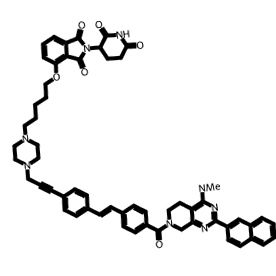 CNc1nc(-c2ccc3ccccc3c2)nc2c1CCN(C(=O)c1ccc(/C=C/c3ccc(C#CCN4CCN(CCCCCOc5cccc6c5C(=O)N(C5CCC(=O)NC5=O)C6=O)CC4)cc3)cc1)C2